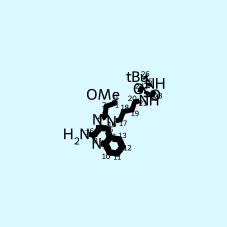 COCCc1nc2c(N)nc3ccccc3c2n1CCCCNS(=O)(=O)NC(C)(C)C